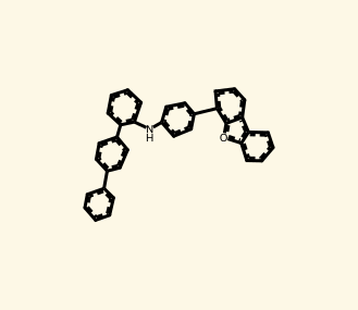 c1ccc(-c2ccc(-c3ccccc3Nc3ccc(-c4cccc5c4oc4ccccc45)cc3)cc2)cc1